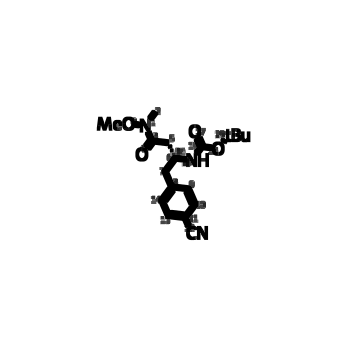 CON(C)C(=O)C[C@@H](Cc1ccc(C#N)cc1)NC(=O)OC(C)(C)C